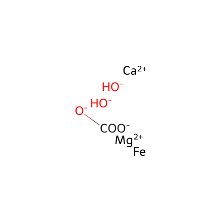 O=C([O-])[O-].[Ca+2].[Fe].[Mg+2].[OH-].[OH-]